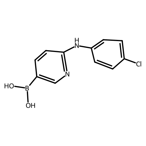 OB(O)c1ccc(Nc2ccc(Cl)cc2)nc1